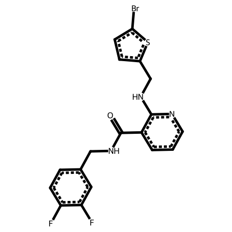 O=C(NCc1ccc(F)c(F)c1)c1cccnc1NCc1ccc(Br)s1